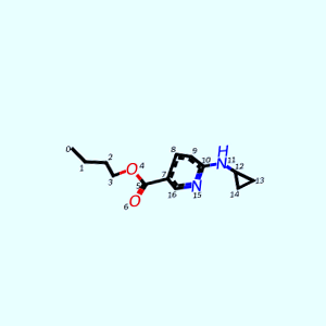 CCCCOC(=O)c1ccc(NC2CC2)nc1